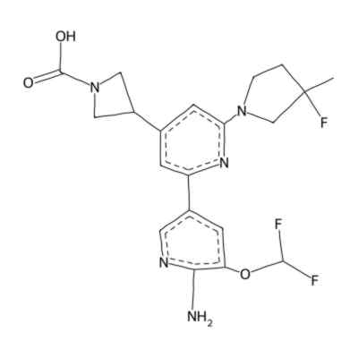 CC1(F)CCN(c2cc(C3CN(C(=O)O)C3)cc(-c3cnc(N)c(OC(F)F)c3)n2)C1